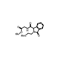 CSCCN1C(=O)c2ccccc2C1C(=O)NCC(=O)OC(C)(C)C